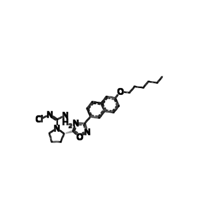 CCCCCCOc1ccc2cc(-c3noc([C@@H]4CCCN4/C(N)=N\Cl)n3)ccc2c1